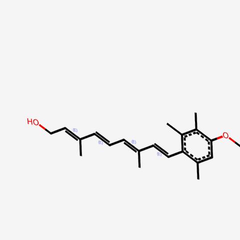 COc1cc(C)c(/C=C/C(C)=C/C=C/C(C)=C/CO)c(C)c1C